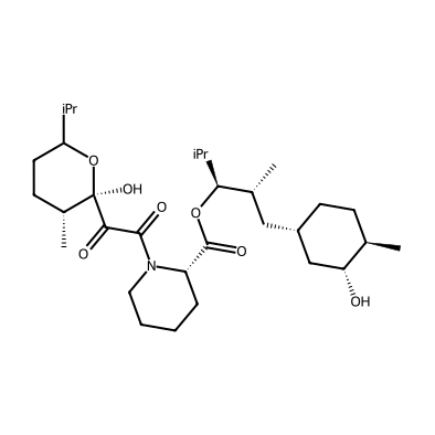 CC(C)C1CC[C@@H](C)[C@](O)(C(=O)C(=O)N2CCCC[C@H]2C(=O)O[C@@H](C(C)C)[C@H](C)C[C@@H]2CC[C@@H](C)[C@H](O)C2)O1